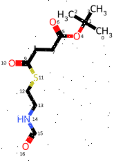 CC(C)(C)OC(=O)CCC(=O)SCCNC=O